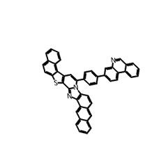 c1ccc2cc3c(ccc4c3nc3c5sc6ccc7ccccc7c6c5cc(-c5ccc(-c6ccc7c(c6)ncc6ccccc67)cc5)n43)cc2c1